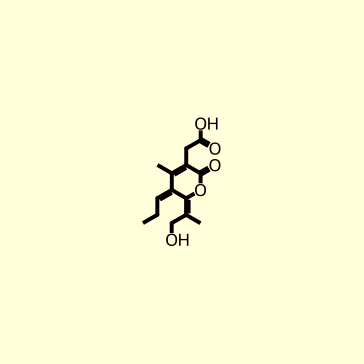 CC/C=c1/c(C)c(CC(=O)O)c(=O)o/c1=C(\C)CO